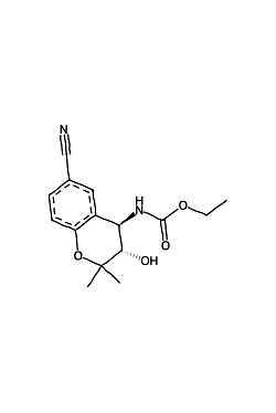 CCOC(=O)N[C@@H]1c2cc(C#N)ccc2OC(C)(C)[C@H]1O